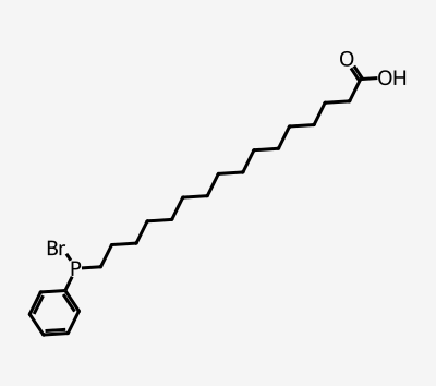 O=C(O)CCCCCCCCCCCCCCCP(Br)c1ccccc1